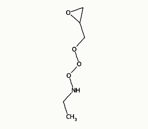 CCNOOOCC1CO1